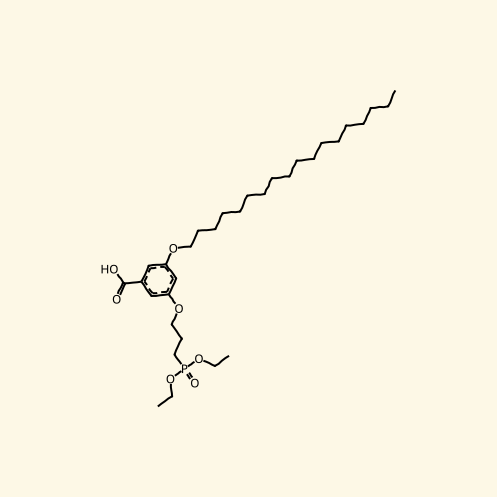 CCCCCCCCCCCCCCCCCCOc1cc(OCCCP(=O)(OCC)OCC)cc(C(=O)O)c1